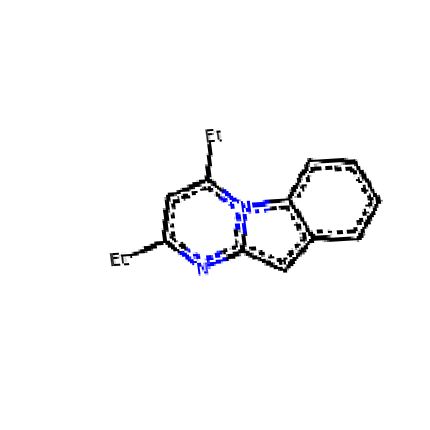 CCc1cc(CC)n2c(cc3ccccc32)n1